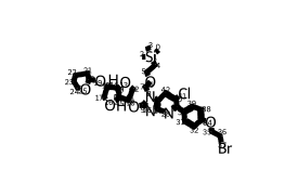 C[Si](C)(C)CCOCn1c(O[C@@H]2CO[C@H]3[C@@H]2OC[C@H]3OC2CCCCO2)nc2nc(-c3ccc(OCCBr)cc3)c(Cl)cc21